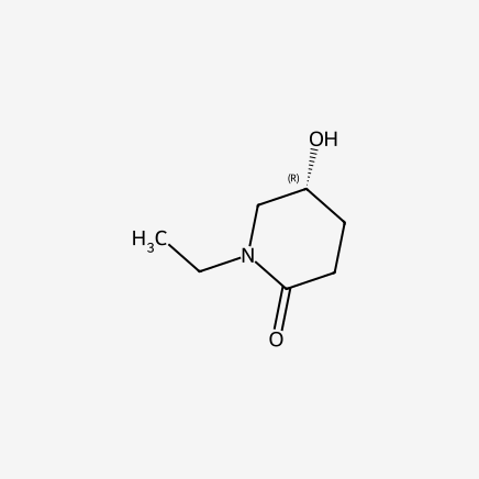 CCN1C[C@H](O)CCC1=O